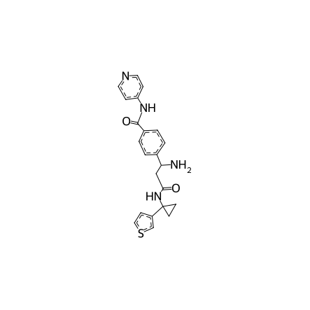 NC(CC(=O)NC1(c2ccsc2)CC1)c1ccc(C(=O)Nc2ccncc2)cc1